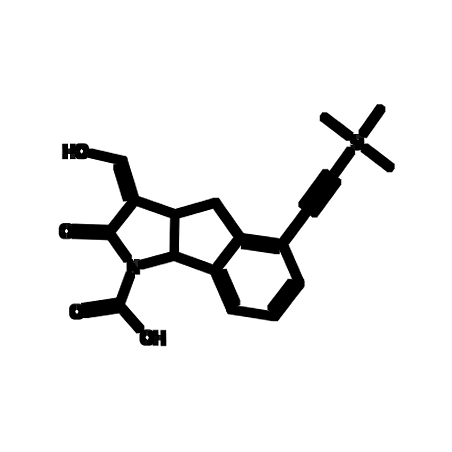 C[Si](C)(C)C#Cc1cccc2c1CC1/C(=C/O)C(=O)N(C(=O)O)C21